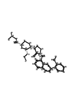 CCC[C@@H]1C[C@H](NCC(C)C)CC[C@@H]1N1CC[C@H](Nc2ncnc3ccc(-c4ccccc4OC)cc23)C1=O